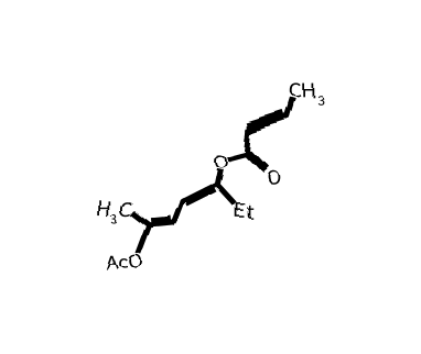 C/C=C/C(=O)O/C(=C/C=C(\C)OC(C)=O)CC